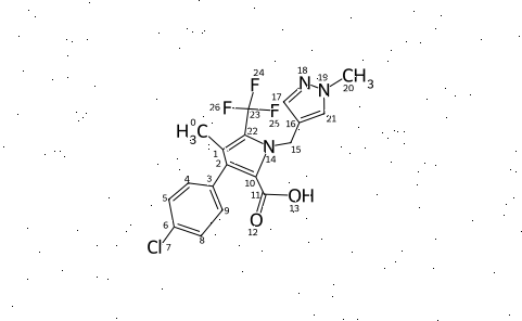 Cc1c(-c2ccc(Cl)cc2)c(C(=O)O)n(Cc2cnn(C)c2)c1C(F)(F)F